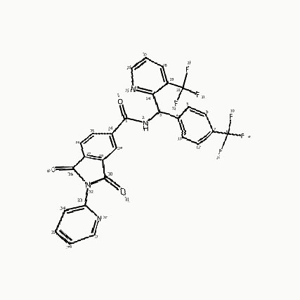 O=C(NC(c1ccc(C(F)(F)F)cc1)c1ncccc1C(F)(F)F)c1ccc2c(c1)C(=O)N(c1ccccn1)C2=O